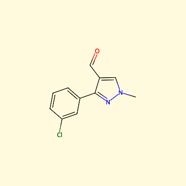 Cn1cc(C=O)c(-c2cccc(Cl)c2)n1